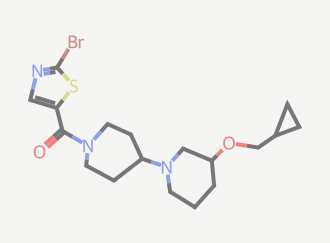 O=C(c1cnc(Br)s1)N1CCC(N2CCCC(OCC3CC3)C2)CC1